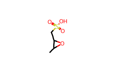 CC1OC1CS(=O)(=O)O